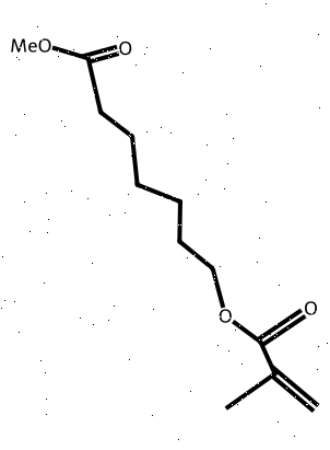 C=C(C)C(=O)OCCCCCCC(=O)OC